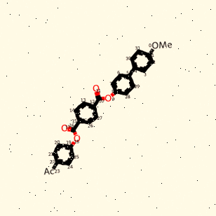 COc1ccc(-c2ccc(OC(=O)c3ccc(C(=O)Oc4ccc(C(C)=O)cc4)cc3)cc2)cc1